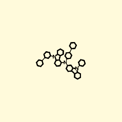 c1ccc(-c2ccc(N(c3ccc4c5ccccc5n(-c5ccccc5)c4c3)c3cccc4c3c3ccccc3n4-c3cccc(-c4ccccc4)c3)cc2)cc1